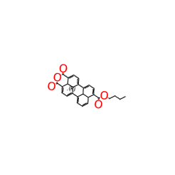 CCCCOC(=O)C1=CC=C2C3=CC=C4C(=O)OC(=O)C5=CC=C(C6=CC=CC1C62)[C@@]3(C)C54